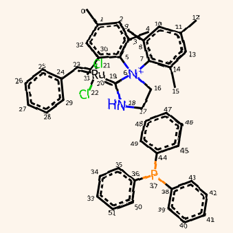 Cc1cc(C)c([N+]2(c3c(C)cc(C)cc3C)CCN[C]2=[Ru]([Cl])([Cl])=[CH]c2ccccc2)c(C)c1.c1ccc(P(c2ccccc2)c2ccccc2)cc1